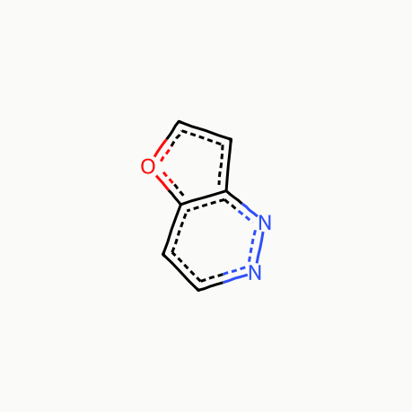 c1cc2occc2nn1